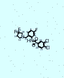 O=S(=O)(Nc1cc(F)ccc1CN1CCC(F)(F)C1)c1ccc(Cl)c(Cl)c1